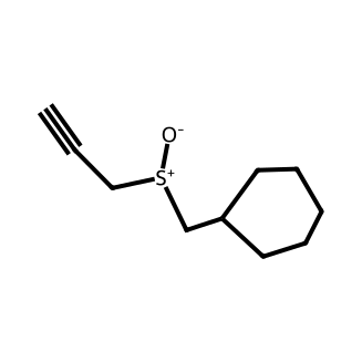 C#CC[S+]([O-])CC1CCCCC1